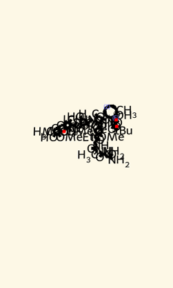 CCN(C(=O)CNC(=O)[C@H](C)NC(=O)[C@@H](N)CC(N)=O)C1COC(OC2C(O[C@H]3C#C/C=C\C#CC(C)[C@]4(O)CC(=O)C(NC(=O)OC)C3/C4=C\CSSC(C)(C)C)OC(C)C(NOC3CC(O)C(SC(=O)c4c(C)c(I)c(OC5OC(C)C(O)C(OC)C5O)c(OC)c4OC)C(C)O3)C2O)CC1OC